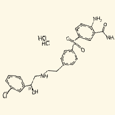 Cl.Cl.NC(=O)c1cc(S(=O)(=O)c2ccc(CCNC[C@@H](O)c3cccc(Cl)c3)cc2)ccc1N